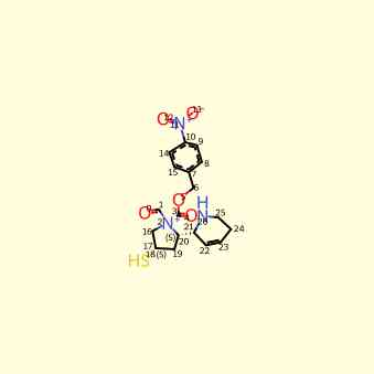 O=C[N+]1(C(=O)OCc2ccc([N+](=O)[O-])cc2)C[C@@H](S)C[C@H]1C1C=CCCN1